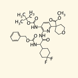 COC(=O)C1(c2ccc(NC(=O)OC(C)(C)C)c(NC(=O)C(NC(=O)OCc3ccccc3)C3CCC(F)(F)CC3)n2)CCOCC1